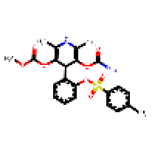 COC(=O)OC1=C(C)NC(C)=C(OC(N)=O)C1c1ccccc1OS(=O)(=O)c1ccc(C)cc1